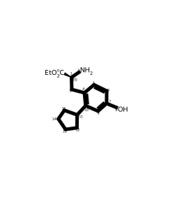 CCOC(=O)[C@@H](N)Cc1ccc(O)cc1C1CCCC1